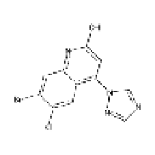 Oc1cc(-n2cncn2)c2cc(Cl)c(Br)cc2n1